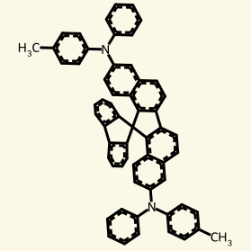 Cc1ccc(N(c2ccccc2)c2ccc3c4c(ccc3c2)-c2ccc3cc(N(c5ccccc5)c5ccc(C)cc5)ccc3c2C42c3ccccc3-c3ccccc32)cc1